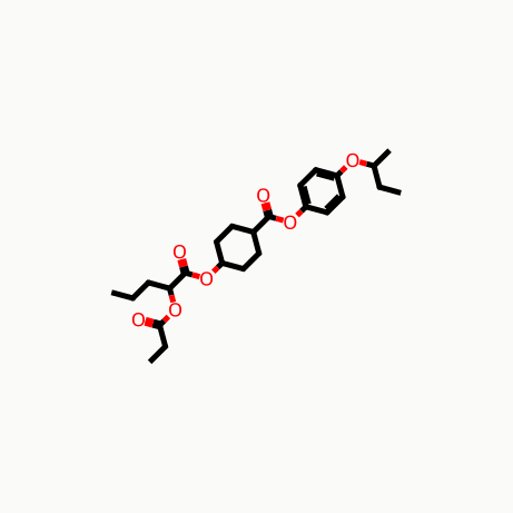 CCCC(OC(=O)CC)C(=O)OC1CCC(C(=O)Oc2ccc(OC(C)CC)cc2)CC1